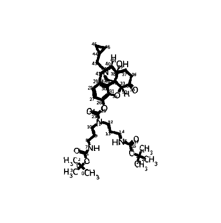 CC(C)(C)OC(=O)NCCCN(CCCNC(=O)OC(C)(C)C)C(=O)Oc1ccc2c3c1O[C@H]1C(=O)CC[C@@]4(O)[C@@H](C2)N(CC2CC2)CC[C@]314